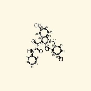 O=C(Nc1ccccc1)C(=O)c1c(C(F)(F)F)n(Cc2ccc(Cl)cc2)c2ccc(Cl)cc12